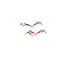 F[SiH2]O[SiH3].[SiH3]O[SiH3]